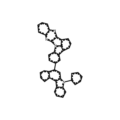 c1ccc(-n2c3ccccc3c3c4ccccc4c(-c4ccc5c(c4)c4cccc6c7nc8ccccc8nc7n5c46)cc32)cc1